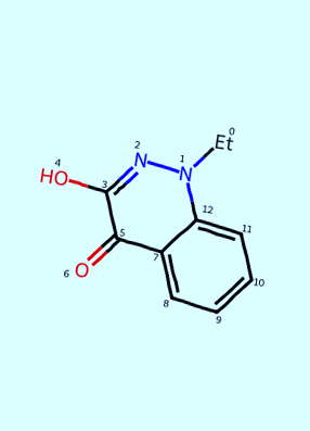 CCn1nc(O)c(=O)c2ccccc21